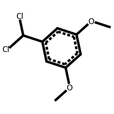 COc1cc(OC)cc(C(Cl)Cl)c1